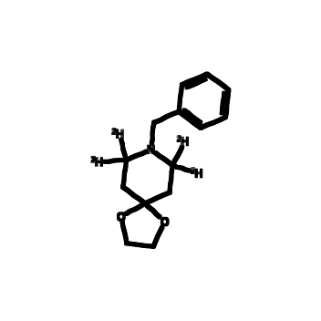 [2H]C1([2H])CC2(CC([2H])([2H])N1Cc1ccccc1)OCCO2